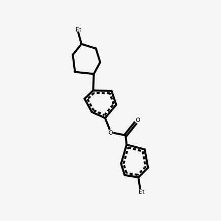 CCc1ccc(C(=O)Oc2ccc(C3CCC(CC)CC3)cc2)cc1